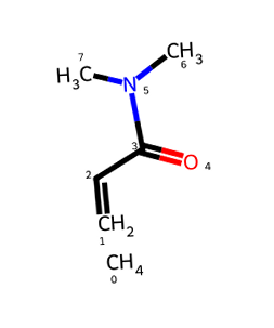 C.C=CC(=O)N(C)C